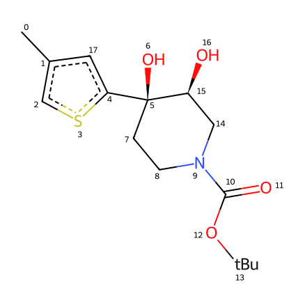 Cc1csc([C@@]2(O)CCN(C(=O)OC(C)(C)C)C[C@@H]2O)c1